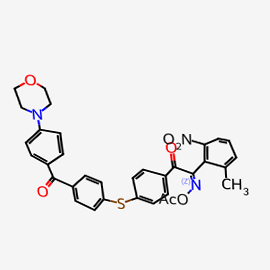 CC(=O)O/N=C(\C(=O)c1ccc(Sc2ccc(C(=O)c3ccc(N4CCOCC4)cc3)cc2)cc1)c1c(C)cccc1[N+](=O)[O-]